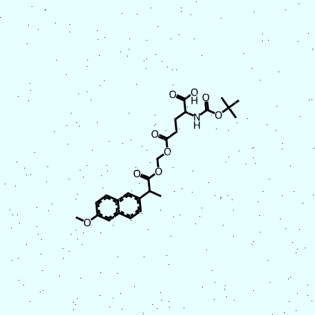 COc1ccc2cc(C(C)C(=O)OCOC(=O)CCC(NC(=O)OC(C)(C)C)C(=O)O)ccc2c1